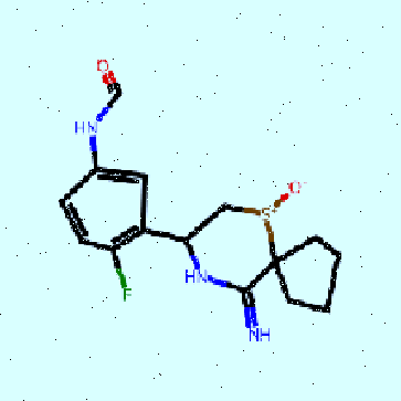 N=C1NC(c2cc(NC=O)ccc2F)C[S+]([O-])C12CCCC2